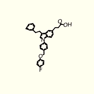 O=C(O)CCc1ccc2c(c1)c(CCc1ccccc1)cn2-c1ccc(COc2ccc(F)cc2)cc1